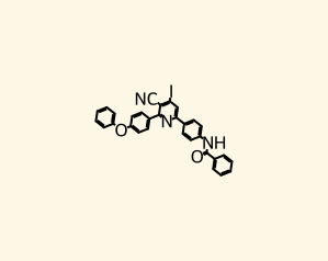 N#Cc1c(I)cc(-c2ccc(NC(=O)c3ccccc3)cc2)nc1-c1ccc(Oc2ccccc2)cc1